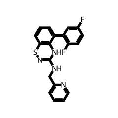 Fc1ccc(F)c(-c2cccc3c2NC(NCc2ccccn2)=NS3)c1